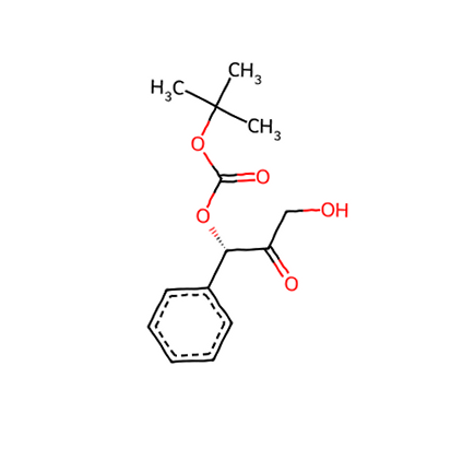 CC(C)(C)OC(=O)O[C@H](C(=O)CO)c1ccccc1